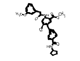 COC(=O)c1cc(-c2ccc(C(=O)NC3CCCC3)cc2)c(Cl)cc1NC(=O)Cc1cccc(OC)c1